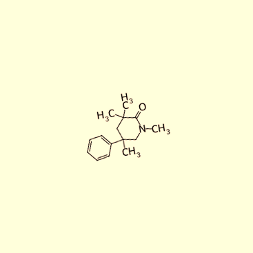 CN1CC(C)(c2ccccc2)CC(C)(C)C1=O